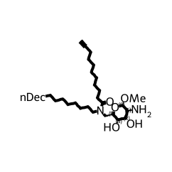 C#CCCCCCCCCC(=O)N(CCCCCCCCCCCCCCCCCC)C[C@H]1O[C@H](OC)[C@@H](N)[C@@H](O)[C@@H]1O